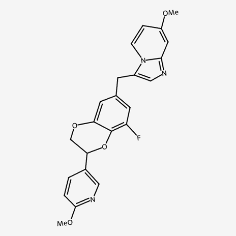 COc1ccn2c(Cc3cc(F)c4c(c3)OCC(c3ccc(OC)nc3)O4)cnc2c1